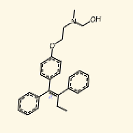 CC/C(=C(\c1ccccc1)c1ccc(OCCN(C)CO)cc1)c1ccccc1